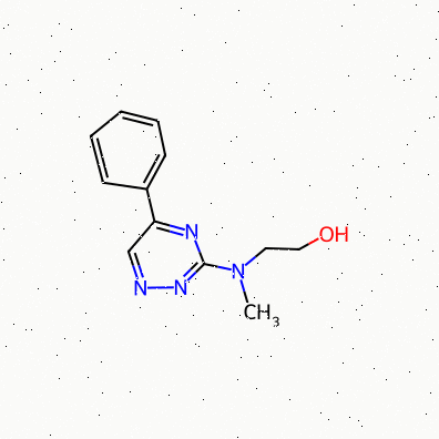 CN(CCO)c1nncc(-c2ccccc2)n1